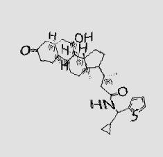 C[C@H](CC(=O)NC(c1cccs1)C1CC1)C1CC[C@H]2[C@@H]3[C@H](O)C[C@@H]4CC(=O)CC[C@]4(C)[C@H]3CC[C@]12C